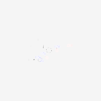 C#Cc1cnc(C(=O)Nc2ccc(CC(=O)NCCCO)cc2C2=CCC(C)(C)CC2)[nH]1